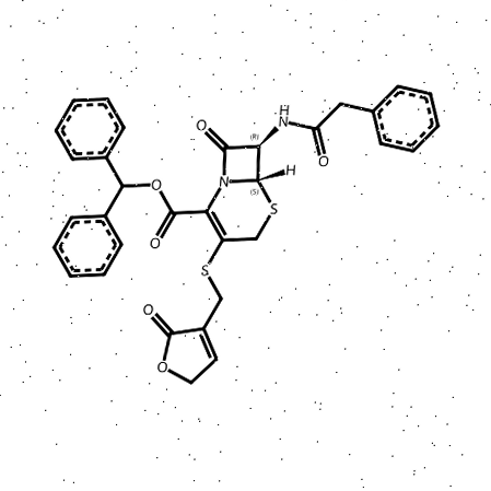 O=C(Cc1ccccc1)N[C@@H]1C(=O)N2C(C(=O)OC(c3ccccc3)c3ccccc3)=C(SCC3=CCOC3=O)CS[C@@H]12